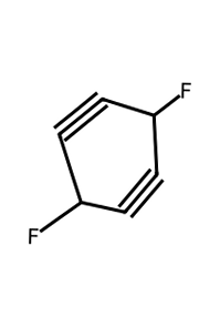 FC1C#CC(F)C#C1